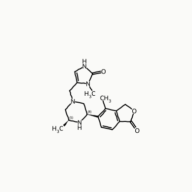 Cc1c([C@@H]2CN(Cc3c[nH]c(=O)n3C)C[C@H](C)N2)ccc2c1COC2=O